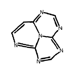 C1=CC2=NC=NC3=NC=NC(=N1)N23